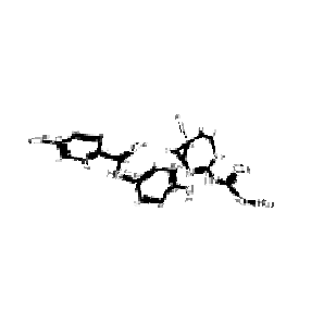 CC(C)(C)OC(=O)NC1=N[C@@]2(c3cc(NC(=O)c4ccc(Cl)cn4)ccc3Cl)C[C@H]2CCS1